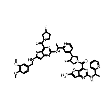 COc1ccc(CNc2cc3nc(NC(C)c4cc(C5CN(C(=O)c6nc(NC(C)c7ccccn7)nc7cc(N)sc67)CC5F)ccn4)nc(C(=O)N4CCC(F)C4)c3s2)cc1OC